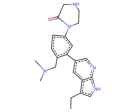 CCc1c[nH]c2ncc(-c3cc(N4CCNCC4=O)ccc3CN(C)C)cc12